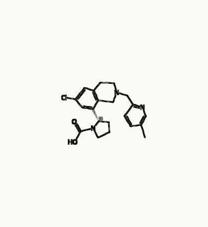 Cc1ccc(CN2CCc3cc(Cl)cc([C@@H]4CCCN4C(=O)O)c3C2)nc1